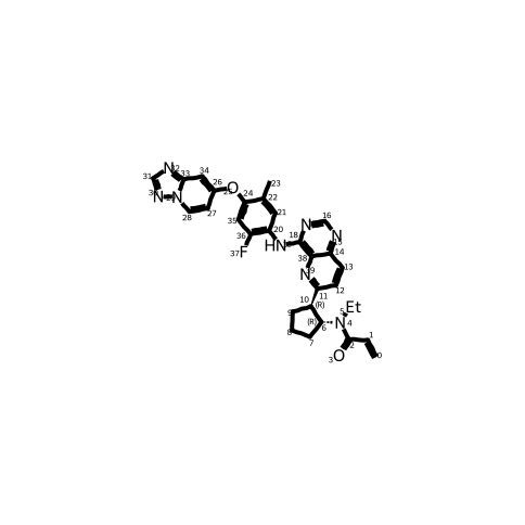 C=CC(=O)N(CC)[C@@H]1CCC[C@H]1c1ccc2ncnc(Nc3cc(C)c(Oc4ccn5ncnc5c4)cc3F)c2n1